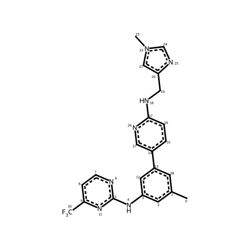 Cc1cc(Nc2nccc(C(F)(F)F)n2)cc(-c2ccc(NCc3cn(C)cn3)nc2)c1